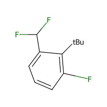 CC(C)(C)c1c(F)cccc1C(F)F